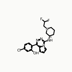 Oc1cc(Cl)ccc1-c1nnc(N[C@@H]2CCCN(CC(F)F)C2)n2cccc12